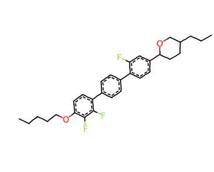 CCCCCOc1ccc(-c2ccc(-c3ccc(C4CCC(CCC)CO4)cc3F)cc2)c(F)c1F